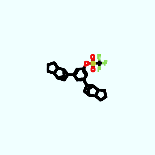 O=S(=O)(Oc1cc(C2CC3CC2C2CCCC32)cc(C2CC3CC2C2CCCC32)c1)C(F)(F)F